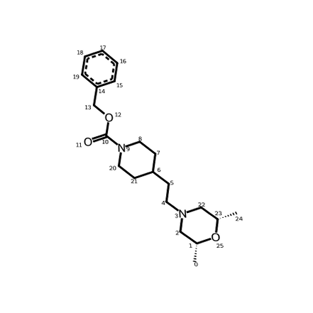 C[C@@H]1CN(CCC2CCN(C(=O)OCc3ccccc3)CC2)C[C@H](C)O1